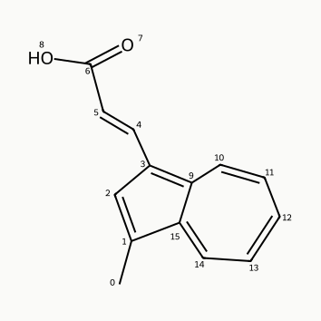 Cc1cc(C=CC(=O)O)c2cccccc1-2